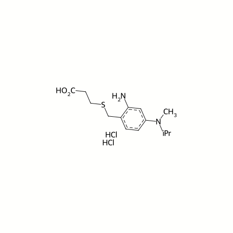 CC(C)N(C)c1ccc(CSCCC(=O)O)c(N)c1.Cl.Cl